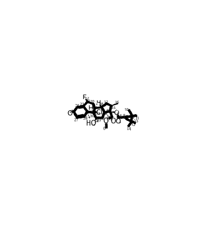 COC(=O)[C@@]1(OC(=O)C2C(C)(C)C2(C)C)[C@H](C)C[C@H]2[C@@H]3C[C@H](F)C4=CC(=O)C=C[C@]4(C)C3(Cl)[C@@H](O)C[C@@]21C